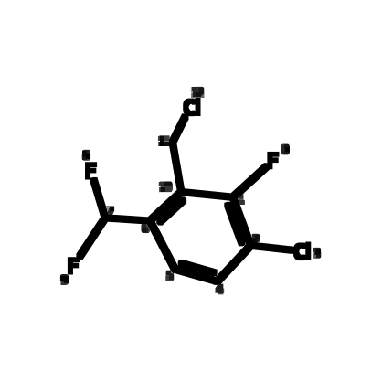 Fc1c(Cl)ccc(C(F)F)c1CCl